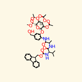 COC(=O)[C@H]1O[C@@H](Oc2cc(CO)ccc2NC(=O)C(C)NC(=O)C(NC(=O)OCC2c3ccccc3-c3ccccc32)C(C)C)[C@H](OC(C)=O)[C@@H](OC(C)=O)[C@@H]1OC(C)=O